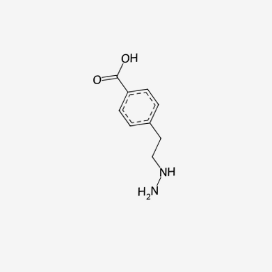 NNCCc1ccc(C(=O)O)cc1